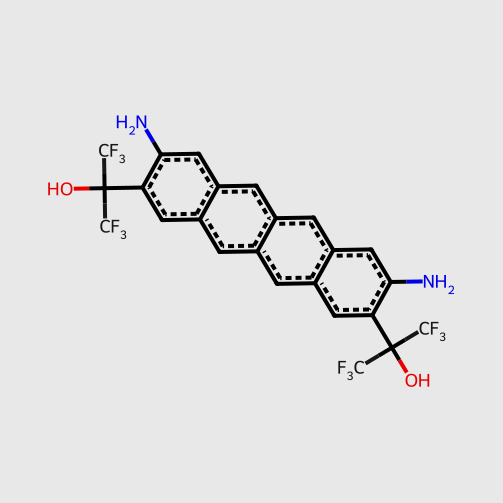 Nc1cc2cc3cc4cc(N)c(C(O)(C(F)(F)F)C(F)(F)F)cc4cc3cc2cc1C(O)(C(F)(F)F)C(F)(F)F